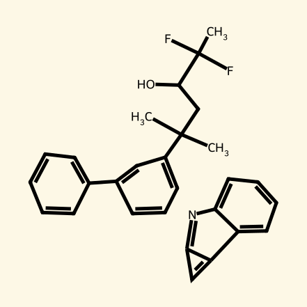 CC(C)(CC(O)C(C)(F)F)c1cccc(-c2ccccc2)c1.c1ccc2c3cc-3nc2c1